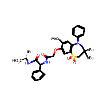 CCCCC1(CCCC)CN(c2ccccc2)c2cc(SC)c(OCC(=O)NC(C(=O)N[C@@H](C(=O)O)[C@@H](C)CC)c3ccccc3)cc2S(=O)(=O)C1